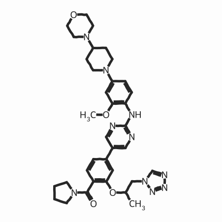 COc1cc(N2CCC(N3CCOCC3)CC2)ccc1Nc1ncc(-c2ccc(C(=O)N3CCCC3)c(OC(C)Cn3cnnn3)c2)cn1